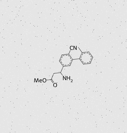 COC(=O)CC(N)c1ccc(C#N)c(-c2ccccc2C)c1